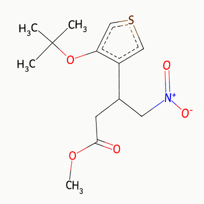 COC(=O)CC(C[N+](=O)[O-])c1cscc1OC(C)(C)C